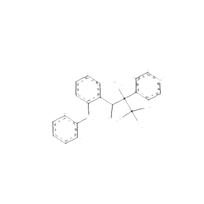 CC(c1ccccc1Oc1ccccc1)C(O)(c1ccncc1)C(F)(F)F